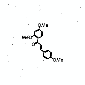 COc1ccc(C=CC(=O)c2ccc(OC)cc2OC)cc1